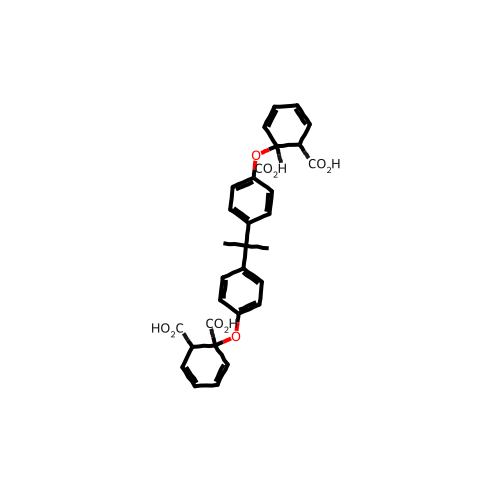 CC(C)(c1ccc(OC2(C(=O)O)C=CC=CC2C(=O)O)cc1)c1ccc(OC2(C(=O)O)C=CC=CC2C(=O)O)cc1